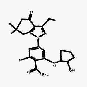 CCc1nn(-c2cc(F)c(C(N)=O)c(NC3CCCC3O)c2)c2c1C(=O)CC(C)(C)C2